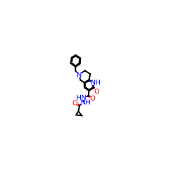 O=C(NNC(=O)C1CC1)c1cc2c([nH]c1=O)CCN(Cc1ccccc1)C2